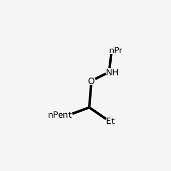 CCCCCC(CC)ONCCC